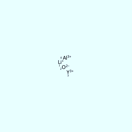 [Al+3].[Li+].[O-2].[Y+3]